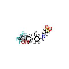 CCc1cc(CN2CC3(C2)CS(=O)(=O)C3)ccc1-c1ccc(C(O)(C(F)(F)F)C(F)(F)F)cc1